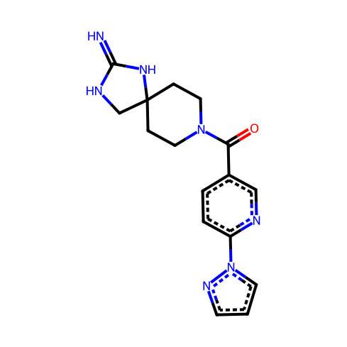 N=C1NCC2(CCN(C(=O)c3ccc(-n4cccn4)nc3)CC2)N1